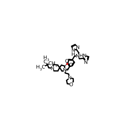 CC(C)(C)CN1CCC2(CC1)C[C@@H](C(=O)[O-])[N+](CCN1CCOCC1)(Cc1ccc(CN(Cc3ncc[nH]3)Cc3ncc[nH]3)cc1)C2